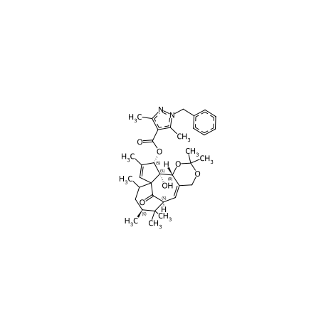 CC1=CC23C(=O)[C@@H](C=C4COC(C)(C)O[C@H]4[C@]2(O)[C@H]1OC(=O)c1c(C)nn(Cc2ccccc2)c1C)C(C)(C)[C@@H](C)CC3C